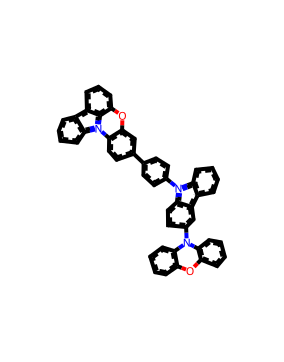 c1ccc2c(c1)Oc1ccccc1N2c1ccc2c(c1)c1ccccc1n2-c1ccc(-c2ccc3c(c2)Oc2cccc4c5ccccc5n-3c24)cc1